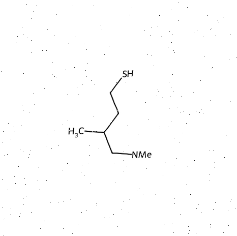 CNCC(C)CCS